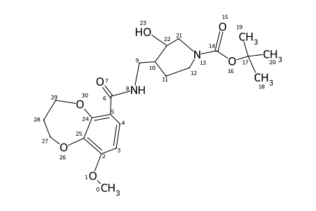 COc1ccc(C(=O)NCC2CCN(C(=O)OC(C)(C)C)CC2O)c2c1OCCCO2